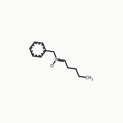 CCCCC=[N+]([O-])Cc1ccccc1